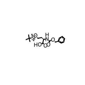 CC(C)(C)[Si](C)(C)OCC[C@@H](NC(=O)OCc1ccccc1)C(=O)O